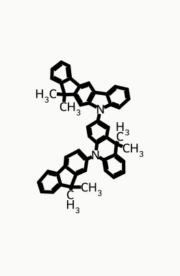 CC1(C)c2ccccc2-c2ccc(N3c4ccccc4C(C)(C)c4cc(-n5c6ccccc6c6cc7c(cc65)C(C)(C)c5ccccc5-7)ccc43)cc21